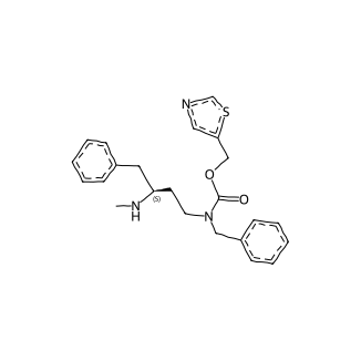 CN[C@H](CCN(Cc1ccccc1)C(=O)OCc1cncs1)Cc1ccccc1